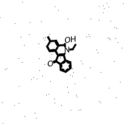 CCN1C2=C(C(=O)c3ccccc32)C2=CCC(C)C=C2C1O